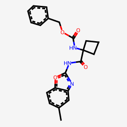 Cc1ccc2oc(NC(=O)C3(NC(=O)OCc4ccccc4)CCC3)nc2c1